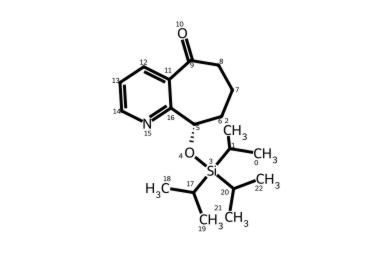 CC(C)[Si](O[C@H]1CCCC(=O)c2cccnc21)(C(C)C)C(C)C